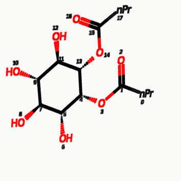 CCCC(=O)O[C@@H]1[C@H](O)[C@@H](O)[C@H](O)[C@@H](O)[C@@H]1OC(=O)CCC